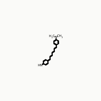 CN(C)c1ccc(/C=C/C=C/C=C/C=C2C=CC(=N)C=C2)cc1